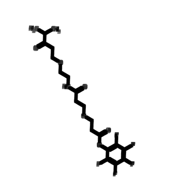 CC(C)C(=O)CCOCCNC(=O)CCOCCC(=O)Oc1c(F)c(F)c(F)c(F)c1F